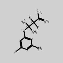 Bc1cc(F)cc(OC(C)(C)C(F)(F)C(=C)C)c1